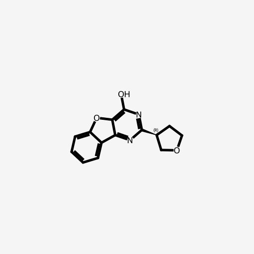 Oc1nc([C@H]2CCOC2)nc2c1oc1ccccc12